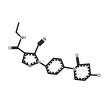 CCNC(=O)c1cnn(-c2ccc(-n3ccc(Cl)cc3=O)cc2)c1C#N